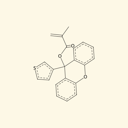 C=C(C)C(=O)OC1(c2ccsc2)c2ccccc2Oc2ccccc21